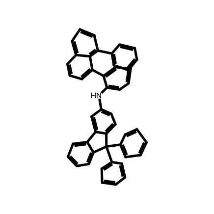 c1ccc(-c2cccc3cccc(-c4ccccc4Nc4ccc5c(c4)-c4ccccc4C5(c4ccccc4)c4ccccc4)c23)cc1